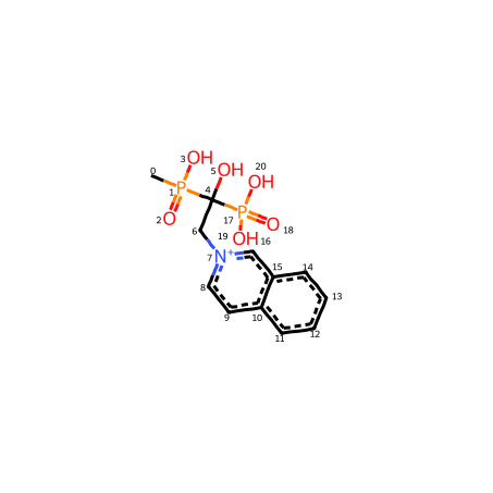 CP(=O)(O)C(O)(C[n+]1ccc2ccccc2c1)P(=O)(O)O